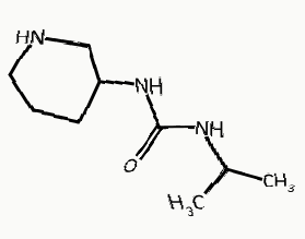 CC(C)NC(=O)NC1CCCNC1